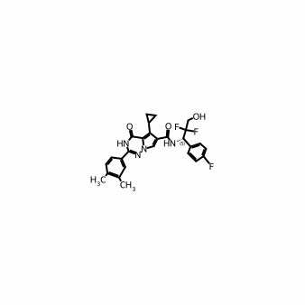 Cc1ccc(-c2nn3cc(C(=O)N[C@@H](c4ccc(F)cc4)C(F)(F)CO)c(C4CC4)c3c(=O)[nH]2)cc1C